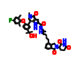 Cc1cc(F)cc(C)c1Oc1ccc(C(C)(C)O)cc1-c1cn(C)c(=O)c2cc(C(=O)NCCCCCc3cccc4c3CN(C3CCC(=O)NC3=O)C4=O)[nH]c12